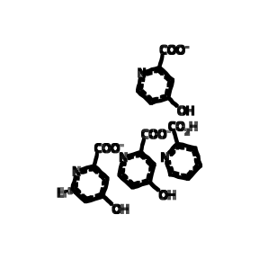 O=C(O)c1ccccn1.O=C([O-])c1cc(O)ccn1.O=C([O-])c1cc(O)ccn1.O=C([O-])c1cc(O)ccn1.[Er+3]